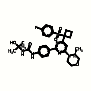 C[C@H]1COCCN1c1cc(C2(S(=O)(=O)c3ccc(F)cc3)CCC2)nc(-c2ccc(NC(=O)NC(C)(C)O)cc2)n1